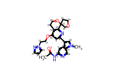 CC(=O)Nc1cc2c(-c3cc(OCCn4cccn4)c4c(n3)C3(CCOC3)OCC4)cn(C)c2cn1